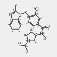 Cc1nc2ccccc2n1Cc1ccc(C(=O)N(C)C2CCN(C(C)C)C2)cc1Cl